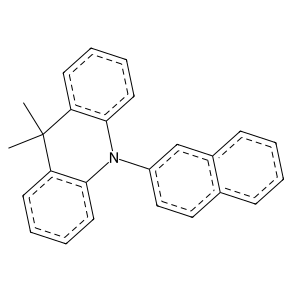 CC1(C)c2ccccc2N(c2ccc3ccccc3c2)c2ccccc21